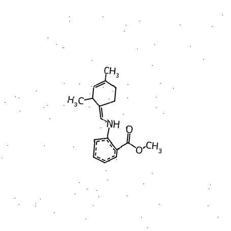 COC(=O)c1ccccc1NC=C1CCC(C)=CC1C